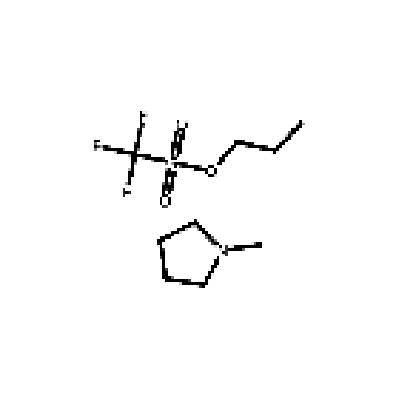 CCCOS(=O)(=O)C(F)(F)F.CN1CCCC1